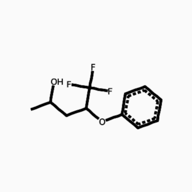 CC(O)CC(Oc1ccccc1)C(F)(F)F